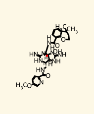 COc1ccc(C(=O)NC[C@@H]2NC(=N)N3CC(NC(=O)c4cccc5c4OCCC5(C)C)[C@@H](O)C34NC(=N)N[C@@H]24)nc1